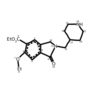 CCOC(=O)c1cc2c(cc1OCC)C(=O)N(CC1CCNCC1)C2